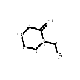 CC(C)CN1CCSCC1=O